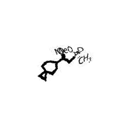 COP(C)(=O)CC(=O)C1CCC2(CC1)CC2